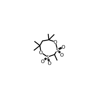 CC1S(=O)(=O)OC(C)(C)CC(C)(C)OS1(=O)=O